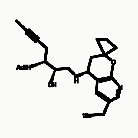 CC#CC[C@H](NC(C)=O)[C@H](O)CN[C@H]1CC2(CCC2)Oc2ncc(CC(C)(C)C)cc21